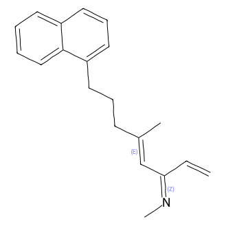 C=CC(/C=C(\C)CCCc1cccc2ccccc12)=N/C